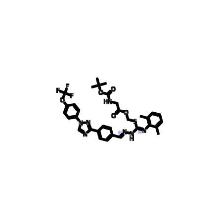 Cc1cccc(C)c1/N=C(/N/N=C/c1ccc(-c2ncn(-c3ccc(OC(F)(F)F)cc3)n2)cc1)SCOC(=O)CNC(=O)OC(C)(C)C